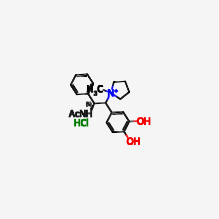 CC(=O)N[C@@H](c1ccccc1)C(c1ccc(O)c(O)c1)[N+]1(C)CCCC1.Cl